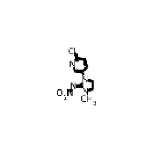 CN1CCN(c2ccc(Cl)nc2)C1=N[N+](=O)[O-]